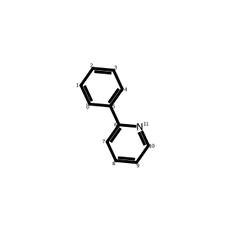 [c]1ccc[c]c1-c1ccccn1